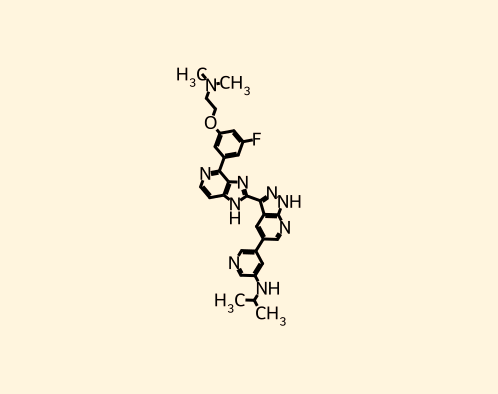 CC(C)Nc1cncc(-c2cnc3[nH]nc(-c4nc5c(-c6cc(F)cc(OCCN(C)C)c6)nccc5[nH]4)c3c2)c1